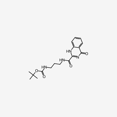 CC(C)(C)OC(=O)NCCCNC(=O)c1nc(=O)c2ccccc2[nH]1